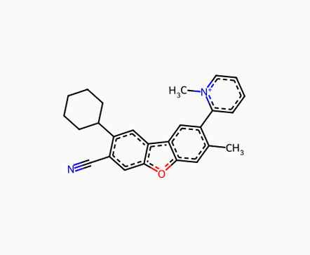 Cc1cc2oc3cc(C#N)c(C4CCCCC4)cc3c2cc1-c1cccc[n+]1C